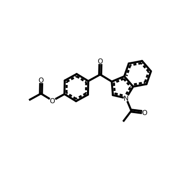 CC(=O)Oc1ccc(C(=O)c2cn(C(C)=O)c3ccccc23)cc1